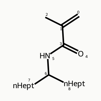 C=C(C)C(=O)NC(CCCCCCC)CCCCCCC